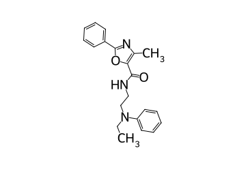 CCN(CCNC(=O)c1oc(-c2ccccc2)nc1C)c1ccccc1